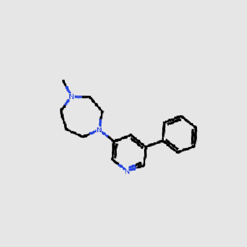 CN1CCCN(c2cncc(-c3ccccc3)c2)CC1